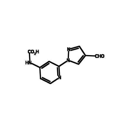 O=Cc1cnn(-c2cc(NC(=O)O)ccn2)c1